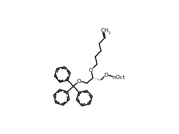 C=CCCCCO[C@H](COCCCCCCCC)COC(c1ccccc1)(c1ccccc1)c1ccccc1